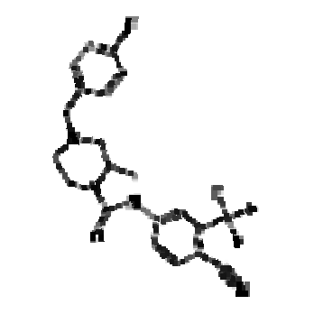 N#Cc1ccc(N2CC3CN(Cc4ccc(F)cc4)CCN3C2=O)cc1C(F)(F)F